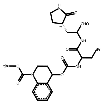 CC(C)CC(NC(=O)OC1CCN(C(=O)OC(C)(C)C)c2ccccc21)C(=O)NC(C=O)C[C@@H]1CCNC1=O